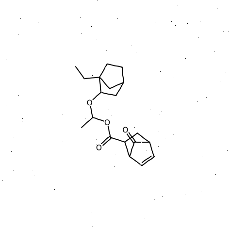 CCC12CCC(CC1OC(C)OC(=O)C1CC3C=CC1C3=O)C2